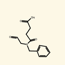 O=CCN(Cc1ccccc1)C(=O)CCC(=O)O